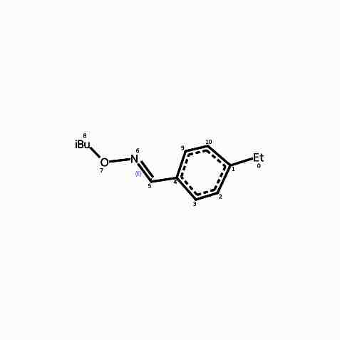 CCc1ccc(/[C]=N/OC(C)CC)cc1